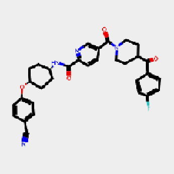 N#Cc1ccc(O[C@H]2CC[C@@H](NC(=O)c3ccc(C(=O)N4CCC(C(=O)c5ccc(F)cc5)CC4)cn3)CC2)cc1